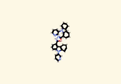 C1=Cc2c(c3c(-c4nnc(-c5cccc6c7ccccc7n(-c7cccnc7)c56)o4)cccc3n2-c2cccnc2)CC1